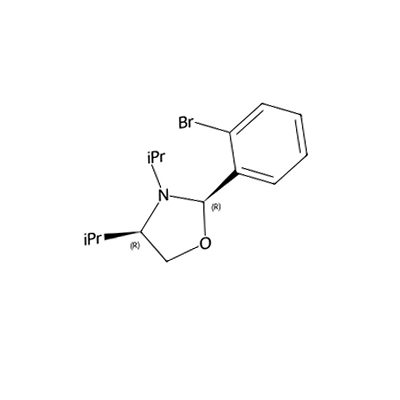 CC(C)[C@@H]1CO[C@H](c2ccccc2Br)N1C(C)C